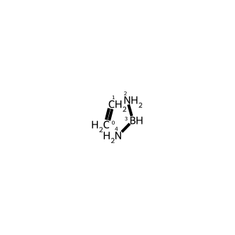 C=C.NBN